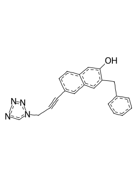 Oc1cc2ccc(C#CCn3cnnn3)cc2cc1Cc1ccccc1